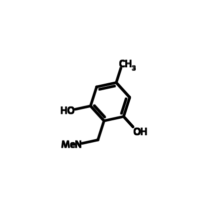 CNCc1c(O)cc(C)cc1O